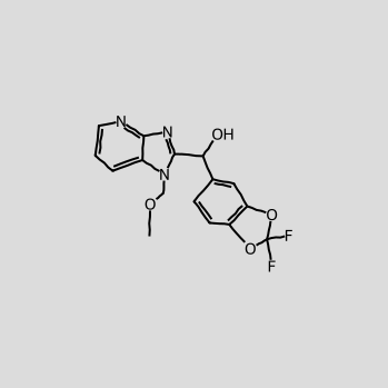 COCn1c(C(O)c2ccc3c(c2)OC(F)(F)O3)nc2ncccc21